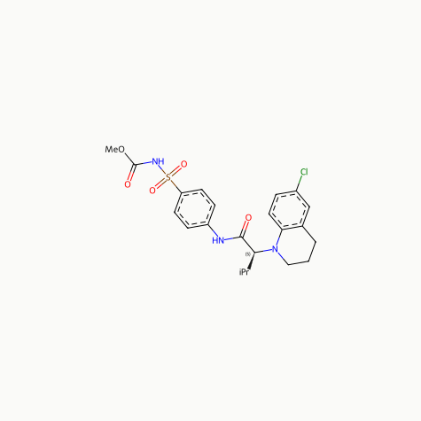 COC(=O)NS(=O)(=O)c1ccc(NC(=O)[C@H](C(C)C)N2CCCc3cc(Cl)ccc32)cc1